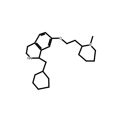 CN1CCCCC1CCOc1ccc2c(c1)C(CC1CCCCC1)NCC2